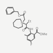 CCC(C(=O)Nc1c(C)cc(F)cc1C(=O)OC)[N+]1(CC(=O)OCc2ccccc2)CCCCCC1